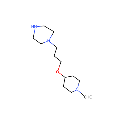 O=CN1CCC(OCCCN2CCNCC2)CC1